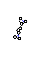 c1ccc2c(c1)Cc1cc(-c3ccc4c(ccc5cc(-n6c7ccccc7c7ccccc76)ccc54)c3)cc3c4ccccc4n-2c13